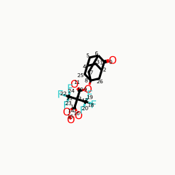 O=C1C2CC3CC1CC(OC(=O)C(C1OOO1)(C(F)(F)F)C(F)(F)F)(C3)C2